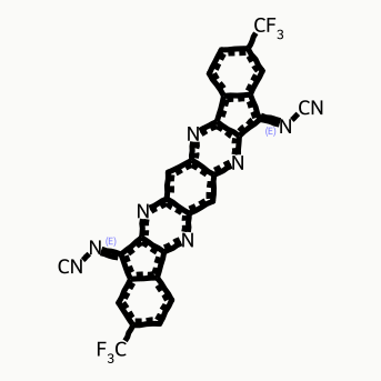 [C-]#[N+]/N=c1\c2cc(C(F)(F)F)ccc2c2nc3cc4nc5/c(=N/C#N)c6cc(C(F)(F)F)ccc6c5nc4cc3nc12